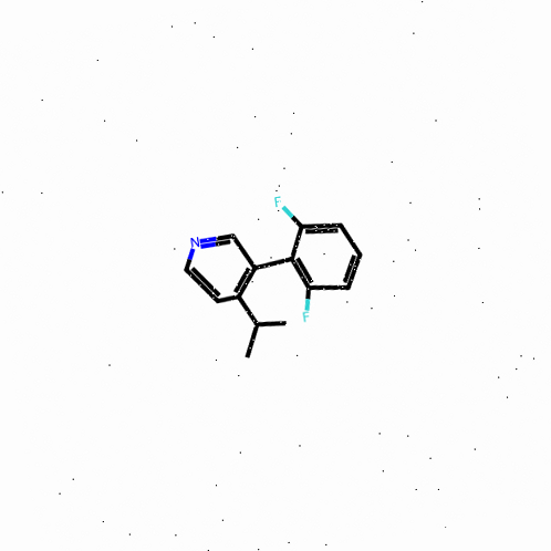 CC(C)c1ccncc1-c1c(F)cccc1F